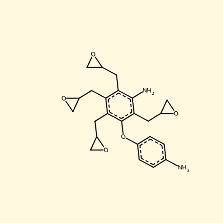 Nc1ccc(Oc2c(CC3CO3)c(N)c(CC3CO3)c(CC3CO3)c2CC2CO2)cc1